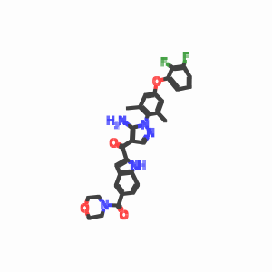 Cc1cc(Oc2cccc(F)c2F)cc(C)c1-n1ncc(C(=O)c2cc3cc(C(=O)N4CCOCC4)ccc3[nH]2)c1N